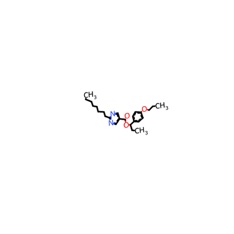 CCCCCCCCc1ncc(C(=O)OC(CC)c2ccc(OCCC)cc2)cn1